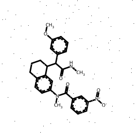 CNC(=O)C(c1cccc(OC)c1)C1CCCc2ccc(N(C)C(=O)c3cccc([N+](=O)[O-])c3)cc21